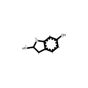 CCCC1Cc2ccc(O)cc2O1